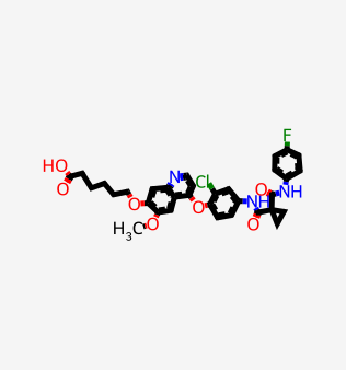 COc1cc2c(Oc3ccc(NC(=O)C4(C(=O)Nc5ccc(F)cc5)CC4)cc3Cl)ccnc2cc1OCCCCCC(=O)O